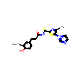 COc1cc(/C=C/C(=O)NC(=S)c2nc(C(C)(C)C)c(-n3ccnc3)s2)ccc1O